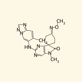 CON=C1CCC2(CC1)C(=O)N(C)c1cnc(Nc3cn4ncnc4cc3C)nc12